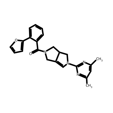 Cc1cc(C)nc(N2C=C3CN(C(=O)c4ccccc4-c4ccco4)CC3C2)n1